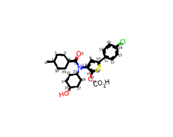 CC1CCC(C(=O)N(c2cc(-c3ccc(Cl)cc3)sc2OC(=O)O)C2CCC(O)CC2)CC1